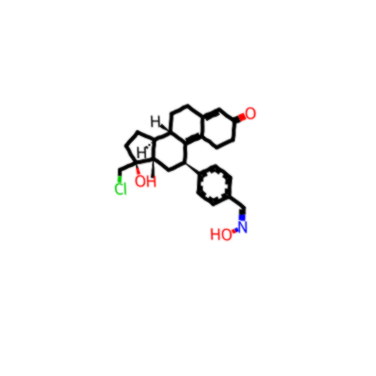 C[C@]12C[C@H](c3ccc(/C=N\O)cc3)C3=C4CCC(=O)C=C4CC[C@H]3[C@@H]1CC[C@@]2(O)CCl